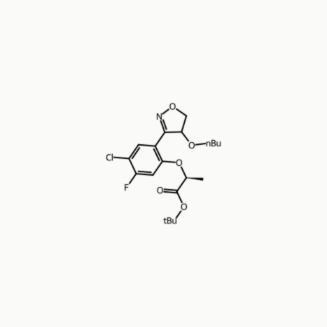 CCCCOC1CON=C1c1cc(Cl)c(F)cc1O[C@@H](C)C(=O)OC(C)(C)C